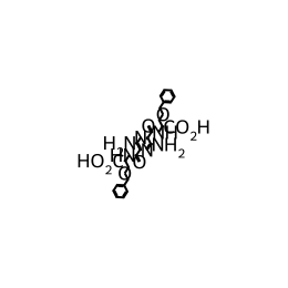 Nc1nc(C(=O)N[C@@H](COCc2ccccc2)C(=O)O)c(N)nc1C(=O)N[C@@H](COCc1ccccc1)C(=O)O